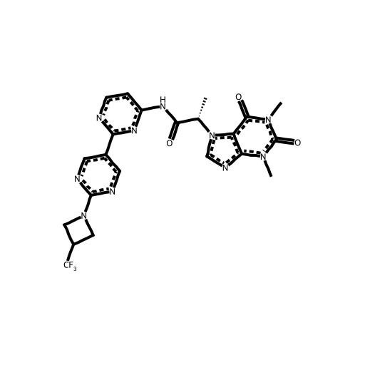 C[C@@H](C(=O)Nc1ccnc(-c2cnc(N3CC(C(F)(F)F)C3)nc2)n1)n1cnc2c1c(=O)n(C)c(=O)n2C